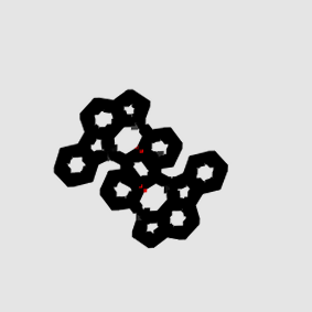 c1ccc(-n2ccc3ccc4c5ccccc5n(-c5ccc(-n6c7ccccc7c7ccc8ccn(-c9ccccc9)c8c76)nc5)c4c32)cc1